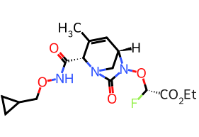 CCOC(=O)[C@H](F)ON1C(=O)N2C[C@@H]1C=C(C)[C@H]2C(=O)NOCC1CC1